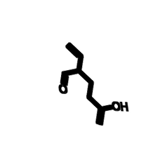 C=CC(C=O)CCC(=C)O